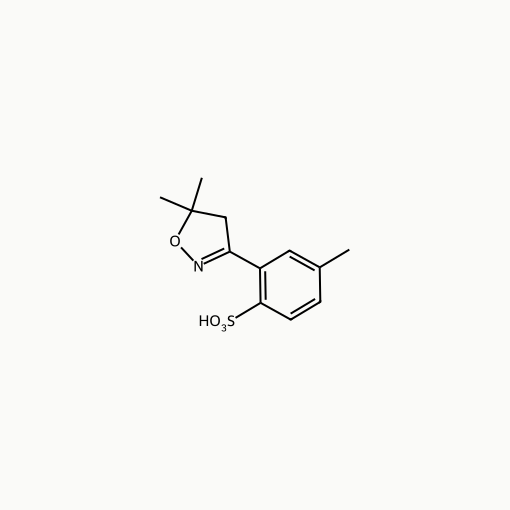 Cc1ccc(S(=O)(=O)O)c(C2=NOC(C)(C)C2)c1